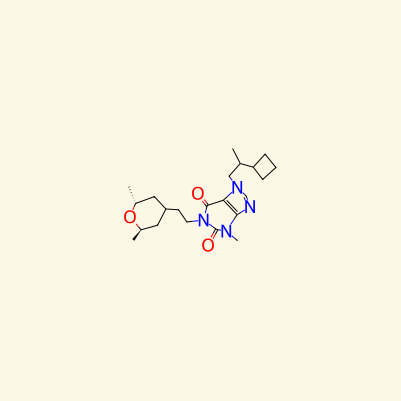 CC(Cn1cnc2c1c(=O)n(CCC1C[C@@H](C)O[C@H](C)C1)c(=O)n2C)C1CCC1